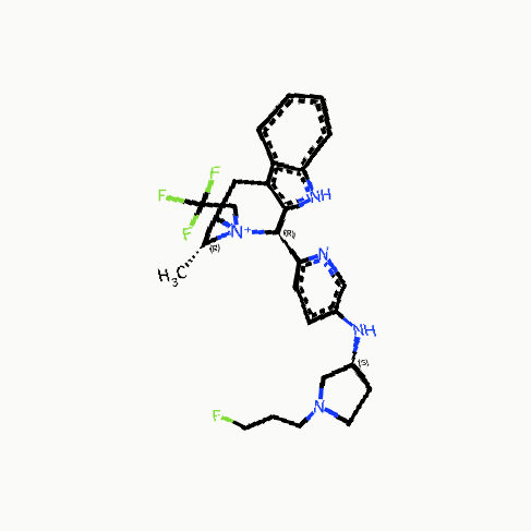 C[C@@H]1C2Cc3c([nH]c4ccccc34)[C@@H](c3ccc(N[C@H]4CCN(CCCF)C4)cn3)[N+]21CC(F)(F)F